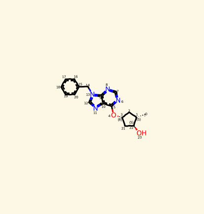 [CH2][C@H]1C[C@@H](Oc2ncnc3c2ncn3Cc2ccccc2)C[C@@H]1O